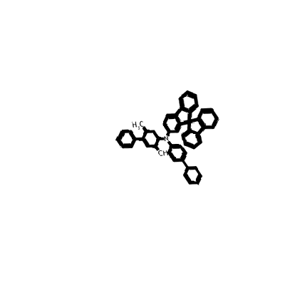 CC1CC(N(c2ccc(C3C=CC=CC3)cc2)c2ccc3c(c2)C2(C4=C(CCC=C4)c4ccccc42)c2ccccc2-3)C(C)C=C1c1ccccc1